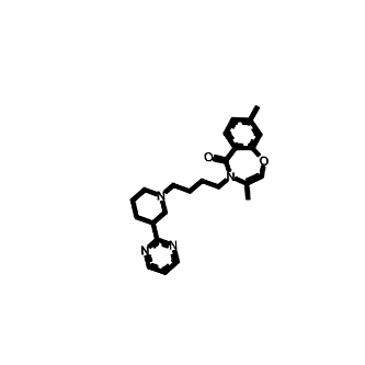 CC1=COc2cc(C)ccc2C(=O)N1CCCCN1CCCC(c2ncccn2)C1